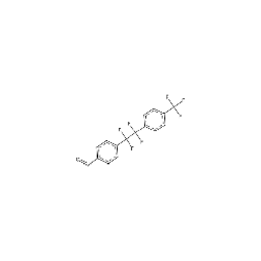 O=Cc1ccc(C(F)(F)C(F)(F)c2ccc(C(F)(F)F)cc2)cc1